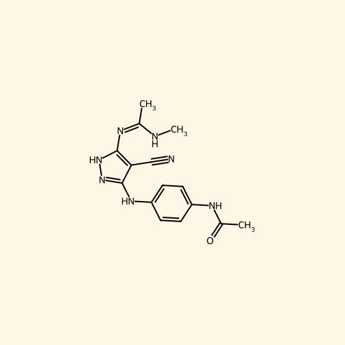 CNC(C)=Nc1[nH]nc(Nc2ccc(NC(C)=O)cc2)c1C#N